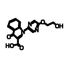 O=C(O)c1cn(-c2cnc(OCCO)cn2)c2ccccc2c1=O